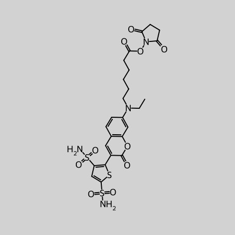 CCN(CCCCCC(=O)ON1C(=O)CCC1=O)c1ccc2cc(-c3sc(S(N)(=O)=O)cc3S(N)(=O)=O)c(=O)oc2c1